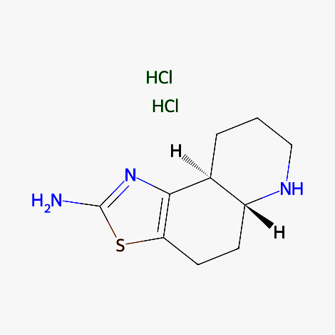 Cl.Cl.Nc1nc2c(s1)CC[C@H]1NCCC[C@H]21